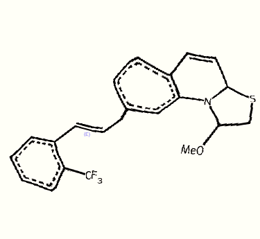 COC1CSC2C=Cc3ccc(/C=C/c4ccccc4C(F)(F)F)cc3N12